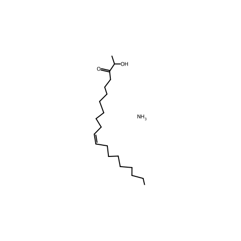 CCCCCCCC/C=C\CCCCCCCC(=O)C(C)O.N